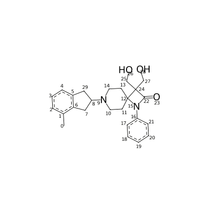 Cc1cccc2c1CC(N1CCC3(CC1)N(c1ccccc1)C(=O)C3(CO)CO)C2